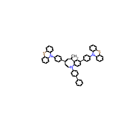 C=C1/C=C(c2ccc(N3c4ccccc4Sc4ccccc43)cc2)\C=C/N(c2ccc(-c3ccccc3)cc2)c2ccc(-c3ccc(N4c5ccccc5Sc5ccccc54)cc3)cc21